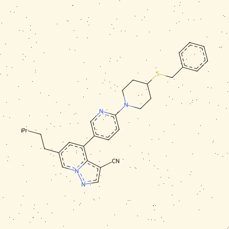 CC(C)CCc1cc(-c2ccc(N3CCC(SCc4ccccc4)CC3)nc2)c2c(C#N)cnn2c1